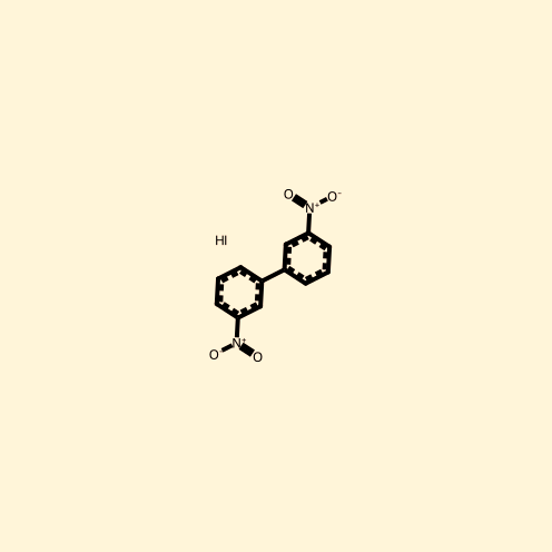 I.O=[N+]([O-])c1cccc(-c2cccc([N+](=O)[O-])c2)c1